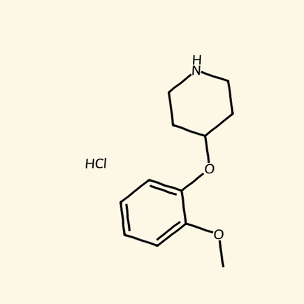 COc1ccccc1OC1CCNCC1.Cl